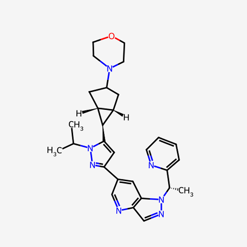 CC(C)n1nc(-c2cnc3cnn([C@@H](C)c4ccccn4)c3c2)cc1[C@H]1[C@@H]2CC(N3CCOCC3)C[C@@H]21